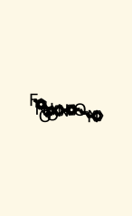 O=C1OC2(CCN(c3ccc(OCCCN4CCCCC4)cc3)CC2)CN1c1ccc(F)cn1